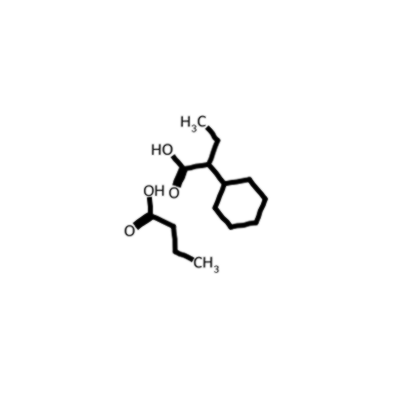 CCC(C(=O)O)C1CCCCC1.CCCC(=O)O